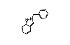 [c]1ccc2nn(Cc3ccccc3)cc2c1